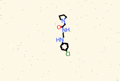 O=C(CN1CCCC1)NCCNc1ccc(Cl)cc1